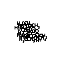 CC(CC(=O)OC1CC(C)(C)NC(C)(C)C1)C(CC(=O)OC1CC(C)(C)NC(C)(C)C1)C(=O)OC1CC(C)(C)NC(C)(C)C1